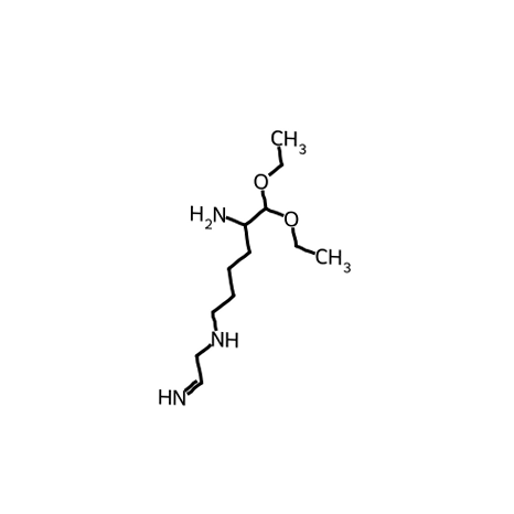 CCOC(OCC)C(N)CCCCNCC=N